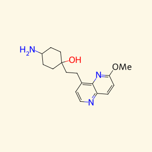 COc1ccc2nccc(CCC3(O)CCC(N)CC3)c2n1